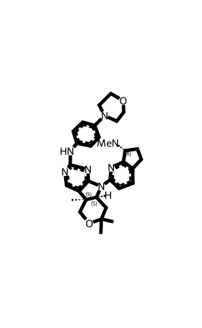 CN[C@@H]1CCc2ccc(N3c4nc(Nc5ccc(N6CCOCC6)cc5)ncc4[C@]4(C)COC(C)(C)C[C@H]34)nc21